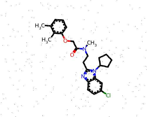 Cc1cccc(OCC(=O)N(C)CCc2nc3ccc(Cl)cc3n2C2CCCC2)c1C